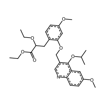 CCOC(=O)C(Cc1ccc(OC)cc1OCc1cnc2ccc(OC)cc2c1OC(C)C)OCC